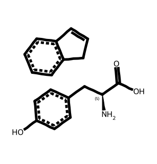 C1=Cc2ccccc2C1.N[C@@H](Cc1ccc(O)cc1)C(=O)O